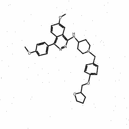 COc1ccc(-c2nnc(NC3CCN(Cc4ccc(OCC5CCCO5)cc4)CC3)c3cc(OC)ccc23)cc1